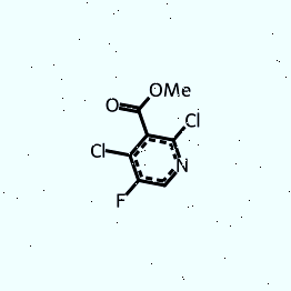 COC(=O)c1c(Cl)ncc(F)c1Cl